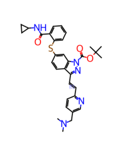 CN(C)Cc1ccc(/C=C/c2nn(C(=O)OC(C)(C)C)c3cc(Sc4ccccc4C(=O)NC4CC4)ccc23)nc1